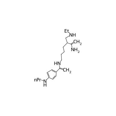 C=C(NCCCCC(CNCC)C(=C)N)c1ccc(NCCC)cc1